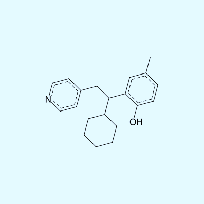 Cc1ccc(O)c(C(Cc2ccncc2)C2CCCCC2)c1